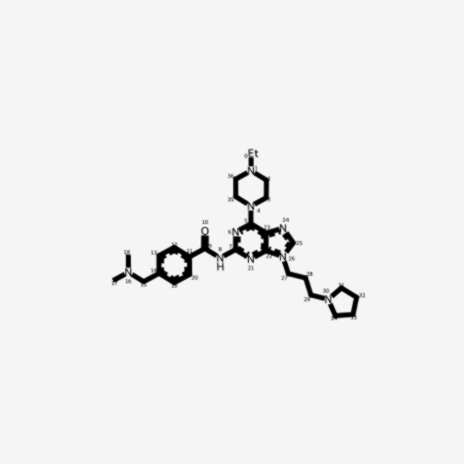 CCN1CCN(c2nc(NC(=O)c3ccc(CN(C)C)cc3)nc3c2ncn3CCCN2CCCC2)CC1